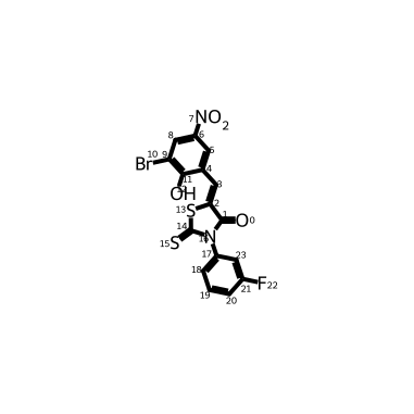 O=C1/C(=C/c2cc([N+](=O)[O-])cc(Br)c2O)SC(=S)N1c1cccc(F)c1